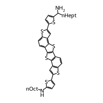 CCCCCCCCNc1ccc(-c2cc3c(ccc4c3sc3c5ccc6sc(-c7ccc(C(N)CCCCCCC)s7)cc6c5sc43)s2)s1